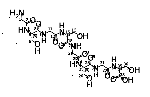 NCC(=O)N[C@@H](CO)C(=O)NCC(=O)N[C@@H](CO)C(=O)NCC(=O)N[C@@H](CO)C(=O)NCC(=O)N[C@@H](CO)C(=O)O